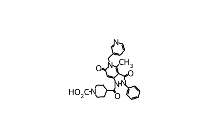 Cc1c2c(=O)n(-c3ccccc3)n(C(=O)C3CCN(C(=O)O)CC3)c2cc(=O)n1Cc1cccnc1